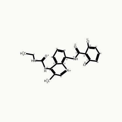 CCNC(=O)Nc1c(C)cnc2c(NC(=O)c3c(Cl)cccc3Cl)cccc12